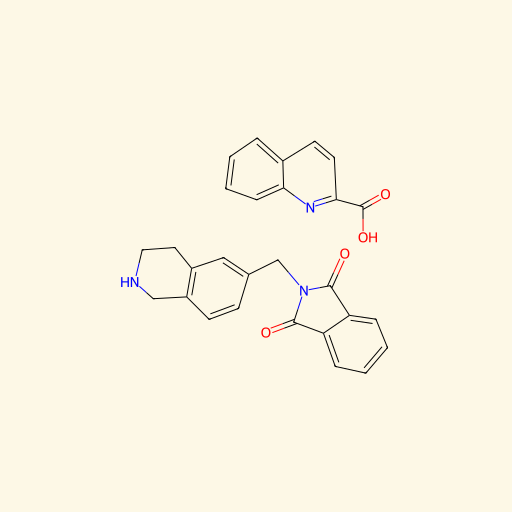 O=C(O)c1ccc2ccccc2n1.O=C1c2ccccc2C(=O)N1Cc1ccc2c(c1)CCNC2